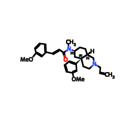 C=CCN1CC[C@@]2(c3cccc(OC)c3)C[C@H](N(C)C(=O)C=Cc3cccc(OC)c3)CC[C@@H]2C1